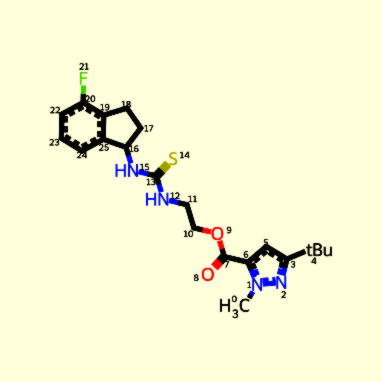 Cn1nc(C(C)(C)C)cc1C(=O)OCCNC(=S)NC1CCc2c(F)cccc21